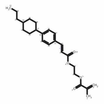 C=C(C)C(=O)OCCOC(=O)/C=C/c1ccc(C2CCC(CCC)CC2)cc1